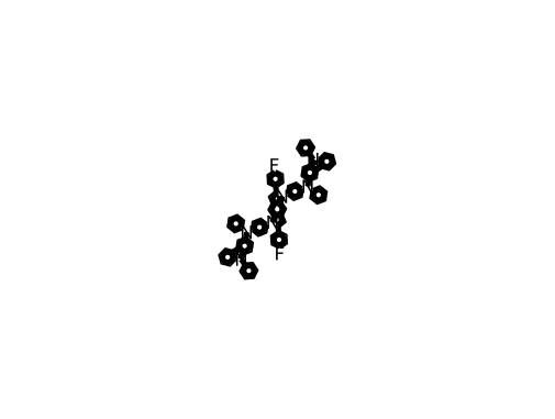 Fc1ccc(-c2cc3cc4c(cc(-c5ccc(F)cc5)n4-c4ccc(N(c5ccccc5)c5ccc6c(c5)c5ccccc5n6-c5ccccc5)cc4)cc3n2-c2ccc(N(c3ccccc3)c3ccc4c(c3)c3ccccc3n4-c3ccccc3)cc2)cc1